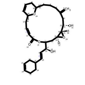 C=C1CCC[C@@H]2CC=C[C@@H](C/C=C\C(=O)OC([C@@H](O)/C=C/C3CC=CCC3)C[C@@H]3O[C@H]3[C@@H](O)C1)O2